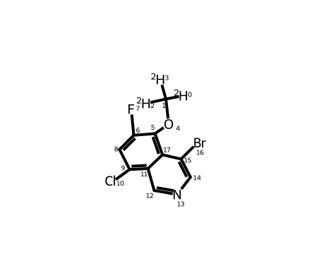 [2H]C([2H])([2H])Oc1c(F)cc(Cl)c2cncc(Br)c12